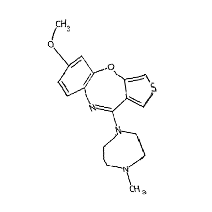 COc1ccc2c(c1)Oc1cscc1C(N1CCN(C)CC1)=N2